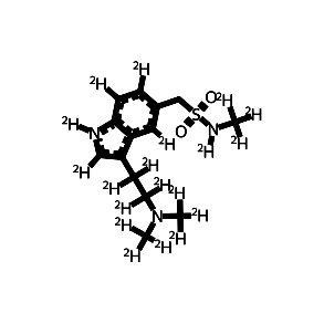 [2H]c1c(CS(=O)(=O)N([2H])C([2H])([2H])[2H])c([2H])c2c(C([2H])([2H])C([2H])([2H])N(C([2H])([2H])[2H])C([2H])([2H])[2H])c([2H])n([2H])c2c1[2H]